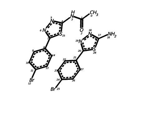 CC(=O)Nc1nnc(-c2ccc(Br)cc2)s1.Nc1nnc(-c2ccc(Br)cc2)s1